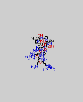 CC[C@H](C)[C@H](NC(=O)[C@H](CO)NC(=O)[C@H](Cc1c[nH]cn1)NC(=O)[C@@H]1CCCN1C(=O)[C@H](CCCNC(=N)N)NC(=O)[C@H](CCCCN)NC(=O)[C@@H](N)CCCNC(=N)N)C(=O)N1CCC[C@H]1C(=O)N[C@H](C(=O)N1CCC[C@H]1C(=O)O)[C@@H](C)O